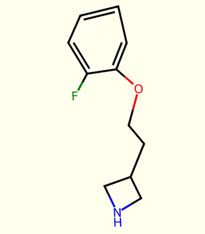 Fc1ccccc1OCCC1CNC1